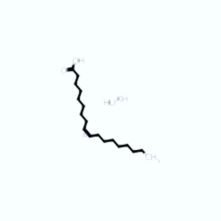 CCCCCCCC/C=C\CCCCCCCC(=O)O.[KH].[LiH]